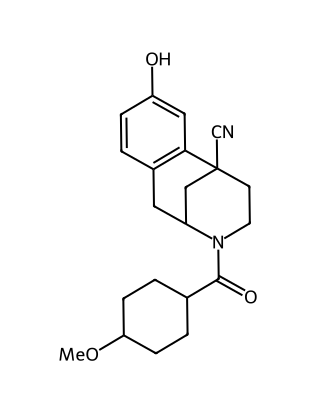 COC1CCC(C(=O)N2CCC3(C#N)CC2Cc2ccc(O)cc23)CC1